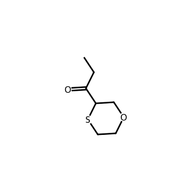 CCC(=O)C1COCCS1